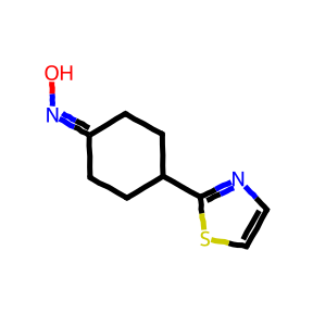 ON=C1CCC(c2nccs2)CC1